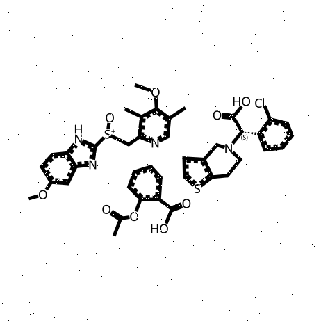 CC(=O)Oc1ccccc1C(=O)O.COc1ccc2[nH]c([S+]([O-])Cc3ncc(C)c(OC)c3C)nc2c1.O=C(O)[C@H](c1ccccc1Cl)N1CCc2sccc2C1